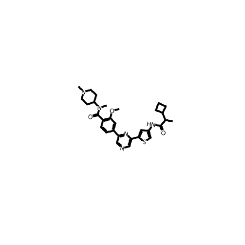 COc1cc(-c2cncc(-c3cc(NC(=O)C(C)C4CCC4)cs3)n2)ccc1C(=O)N(C)C1CCN(C)CC1